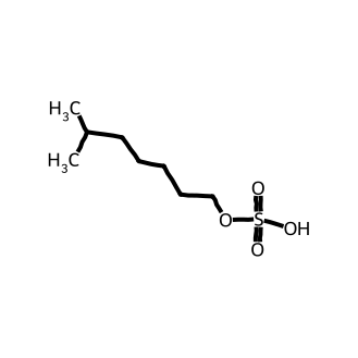 CC(C)CCCCCOS(=O)(=O)O